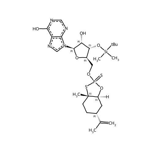 C=C(C)[C@@H]1CC[C@]2(C)SP(=S)(OC[C@H]3O[C@@H](n4cnc5c(O)ncnc54)[C@H](O)[C@@H]3O[Si](C)(C)C(C)(C)C)O[C@H]2C1